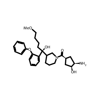 COCCCC[C@@](O)(c1ccccc1Oc1ccccc1)C1CCCN(C(=O)[C@H]2C[C@@H](N)[C@@H](O)C2)C1